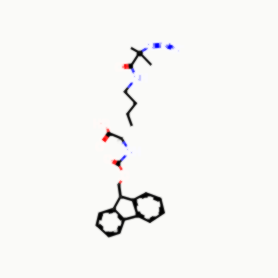 CC(C)(N=[N+]=[N-])C(=O)NCCCC[C@H](NC(=O)OCC1c2ccccc2-c2ccccc21)C(=O)O